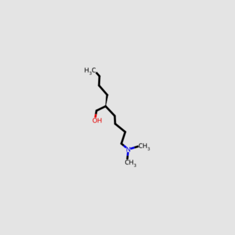 CCCC[C@H](CO)CCCCN(C)C